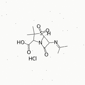 CC(C)=NC1C(=O)N2C(C(=O)O)C(C)(C)S(=O)(=O)[C@@H]12.Cl